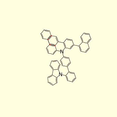 c1ccc(-c2cccc(N(c3ccc(-c4ccccc4-n4c5ccccc5c5ccccc54)cc3)c3cc(-c4cccc5ccccc45)ccc3-c3ccccc3)c2)cc1